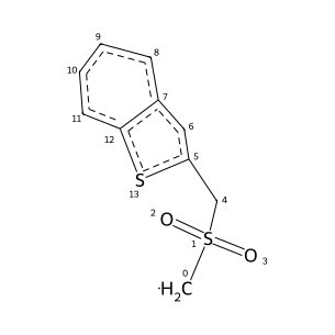 [CH2]S(=O)(=O)Cc1cc2ccccc2s1